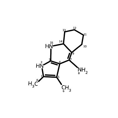 Cc1[nH]c2c(c1C)C(N)=C1CCCCC1N2